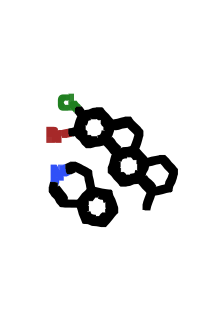 C1=Cc2ccccc2CC=N1.CC1=c2ccc3c(c2CCC1)CC=c1cc(Cl)c(Br)cc1=3